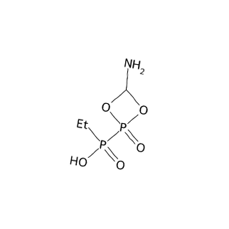 CCP(=O)(O)P1(=O)OC(N)O1